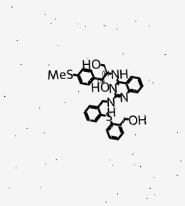 CSc1ccc([C@H](O)[C@@H](CO)Nc2nc(NCc3ccccc3Sc3ccccc3CO)nc3ccccc23)cc1